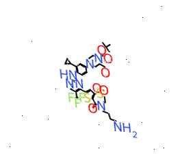 CC(C)(C)OC(=O)N1CCN(c2ccc(Nc3ncc(C(F)(F)F)c(-c4cc5c(s4)C(=O)N(CCCCN)CCS5(=O)=O)n3)c(C3CC3)c2)CC1C=O